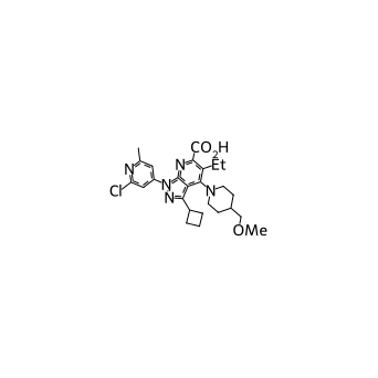 CCc1c(C(=O)O)nc2c(c(C3CCC3)nn2-c2cc(C)nc(Cl)c2)c1N1CCC(COC)CC1